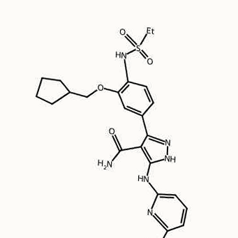 CCS(=O)(=O)Nc1ccc(-c2n[nH]c(Nc3cccc(C(F)(F)F)n3)c2C(N)=O)cc1OCC1CCCC1